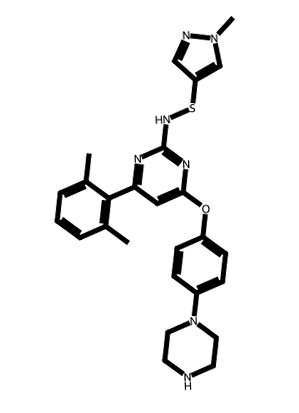 Cc1cccc(C)c1-c1cc(Oc2ccc(N3CCNCC3)cc2)nc(NSc2cnn(C)c2)n1